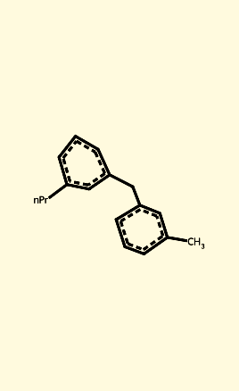 CCCc1cccc(Cc2cccc(C)c2)c1